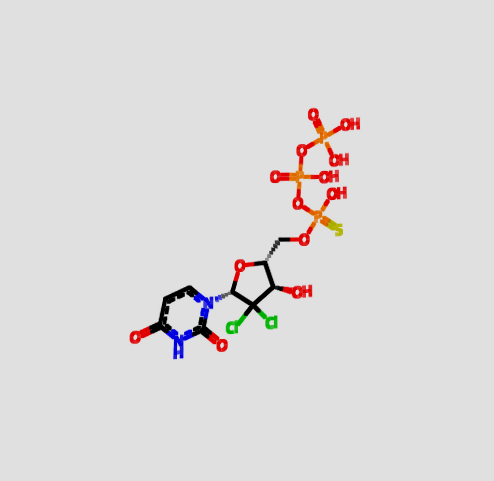 O=c1ccn([C@@H]2O[C@H](COP(O)(=S)OP(=O)(O)OP(=O)(O)O)[C@@H](O)C2(Cl)Cl)c(=O)[nH]1